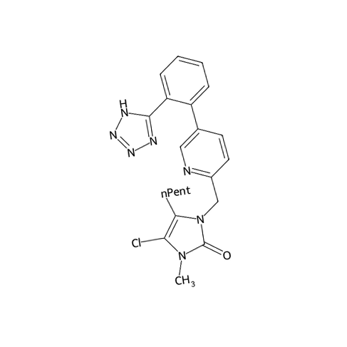 CCCCCc1c(Cl)n(C)c(=O)n1Cc1ccc(-c2ccccc2-c2nnn[nH]2)cn1